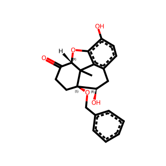 CC12c3c4ccc(O)c3O[C@H]1C(=O)CC[C@@]2(OCc1ccccc1)[C@H](O)C4